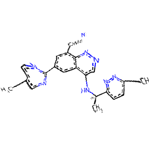 COc1cc(-c2ncc(C)cn2)cc2c(N[C@H](C)c3ccc(C)nn3)cnnc12.[N]